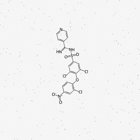 N=C(NS(=O)(=O)c1cc(Cl)c(Oc2ccc([N+](=O)[O-])cc2Cl)c(Cl)c1)c1ccncc1